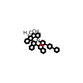 CC1(C)c2cc3ccccc3cc2-c2c(N(c3ccc(-c4ccc(-c5ccccc5)cc4)cc3)c3ccc4ccccc4c3-c3ccc4ccccc4c3)cccc21